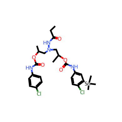 CCC(=O)NN(CC(C)OC(=O)Nc1ccc(Cl)cc1)CC(C)OC(=O)Nc1ccc(Cl)[c]([Sn]([CH3])([CH3])[CH3])c1